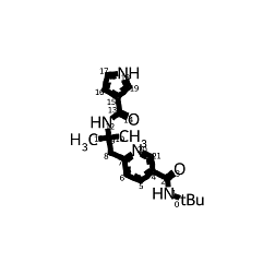 CC(C)(C)NC(=O)c1ccc(CC(C)(C)NC(=O)c2cc[nH]c2)nc1